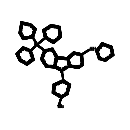 CC(C)(C)c1ccc(-n2c3ccc([SiH2]c4ccccc4)cc3c3cc([Si](c4ccccc4)(c4ccccc4)c4ccccc4)ccc32)cc1